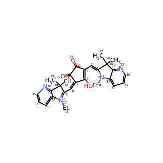 CCN1/C(=C\C2=C(O)C(=C/C3=[N+](CC)c4cccnc4C3(C)C)/C(=O)C2=O)C(C)(C)c2ncccc21